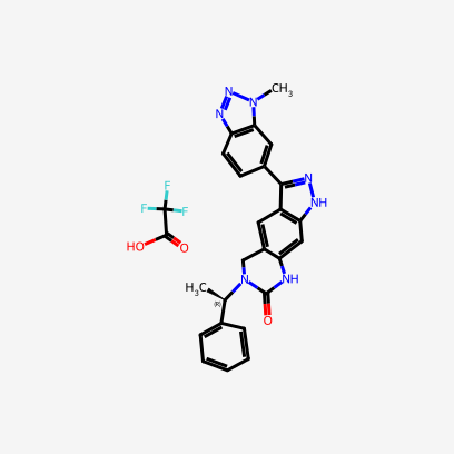 C[C@H](c1ccccc1)N1Cc2cc3c(-c4ccc5nnn(C)c5c4)n[nH]c3cc2NC1=O.O=C(O)C(F)(F)F